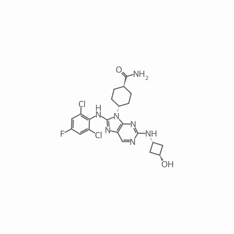 NC(=O)[C@H]1CC[C@H](n2c(Nc3c(Cl)cc(F)cc3Cl)nc3cnc(N[C@H]4C[C@H](O)C4)nc32)CC1